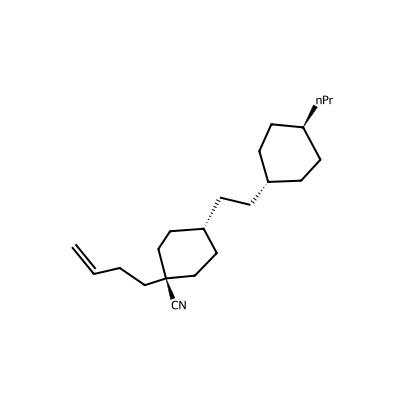 C=CCC[C@]1(C#N)CC[C@H](CC[C@H]2CC[C@H](CCC)CC2)CC1